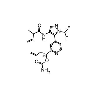 C=CC[C@@H](OC(N)=O)c1cc(-c2c(NC(=O)C(C)C=C)cnn2C(F)F)ccn1